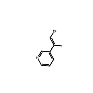 CC(=CBr)c1cccnc1